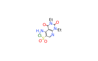 CCn1c(=O)c2c(N)c(S(=O)(=O)Cl)cnc2n(CC)c1=O